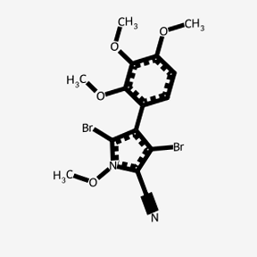 COc1ccc(-c2c(Br)c(C#N)n(OC)c2Br)c(OC)c1OC